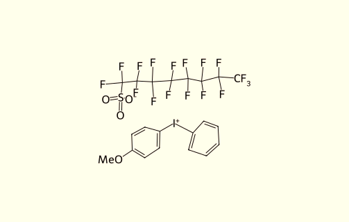 COc1ccc([I+]c2ccccc2)cc1.O=S(=O)([O-])C(F)(F)C(F)(F)C(F)(F)C(F)(F)C(F)(F)C(F)(F)C(F)(F)C(F)(F)F